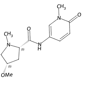 CO[C@H]1C[C@@H](C(=O)Nc2ccc(=O)n(C)c2)N(C)C1